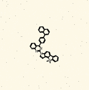 C[Si]1(C)c2ccccc2-c2ccc3c(ccn3-c3nc(-c4ccc(-c5cccc6ccccc56)cc4)c4ccccc4n3)c21